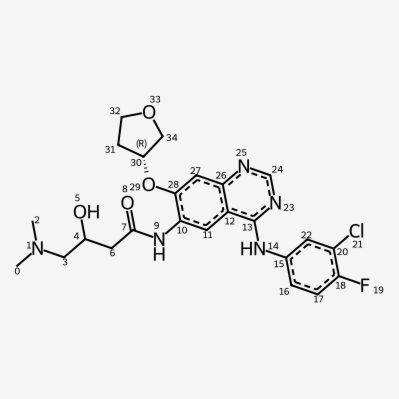 CN(C)CC(O)CC(=O)Nc1cc2c(Nc3ccc(F)c(Cl)c3)ncnc2cc1O[C@@H]1CCOC1